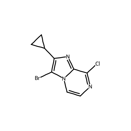 Clc1nccn2c(Br)c(C3CC3)nc12